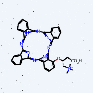 C[N+](C)(C)C[C@@H](CC(=O)O)Oc1cccc2c3nc4nc(nc5[nH]c(nc6nc(nc([nH]3)c12)-c1ccccc1-6)c1ccccc51)-c1ccccc1-4